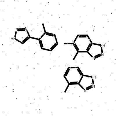 Cc1ccc2[nH]nnc2c1C.Cc1cccc2[nH]nnc12.Cc1ccccc1-c1c[nH]nn1